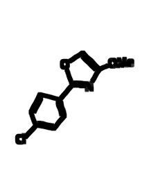 COc1coc(-c2ccc(Cl)cc2)n1